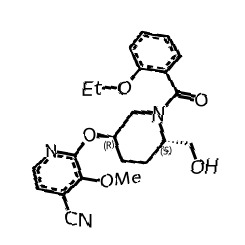 CCOc1ccccc1C(=O)N1C[C@H](Oc2nccc(C#N)c2OC)CC[C@H]1CO